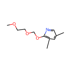 COCCOCOc1ncc(C)cc1C